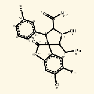 CC(C)(C)CC1N(O)C(C(N)=O)C(c2cccc(Cl)c2)C12C(=O)Nc1cc(Cl)c(F)cc12